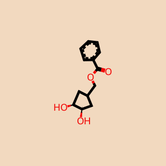 O=C(OCC1C[C@@H](O)[C@@H](O)C1)c1ccccc1